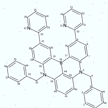 c1ccc(CN2c3ccc(-c4ccccn4)cc3B3c4cc(-c5ccccn5)ccc4N(Cc4ccccc4)c4cccc2c43)cc1